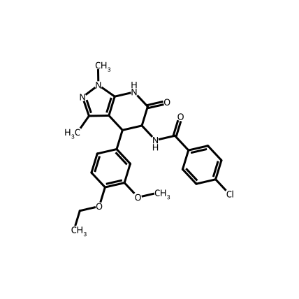 CCOc1ccc(C2c3c(C)nn(C)c3NC(=O)C2NC(=O)c2ccc(Cl)cc2)cc1OC